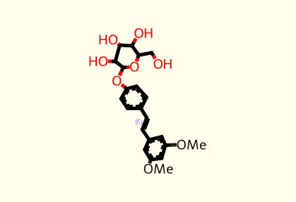 COc1cc(/C=C/c2ccc(OC3OC(CO)C(O)C(O)C3O)cc2)cc(OC)c1